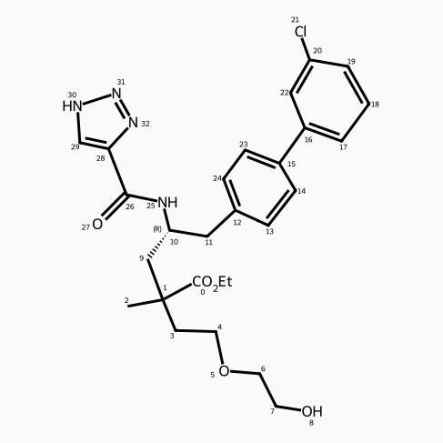 CCOC(=O)C(C)(CCOCCO)C[C@@H](Cc1ccc(-c2cccc(Cl)c2)cc1)NC(=O)c1c[nH]nn1